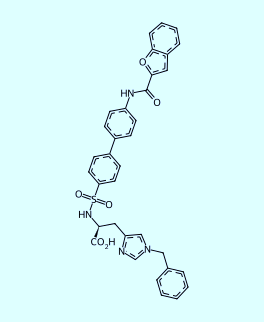 O=C(Nc1ccc(-c2ccc(S(=O)(=O)N[C@@H](Cc3cn(Cc4ccccc4)cn3)C(=O)O)cc2)cc1)c1cc2ccccc2o1